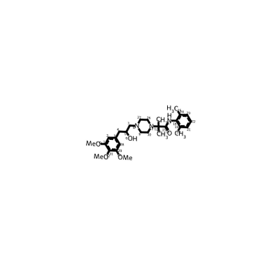 COc1cc(CC(O)CN2CCN(C(C)(C)C(=O)Nc3c(C)cccc3C)CC2)cc(OC)c1OC